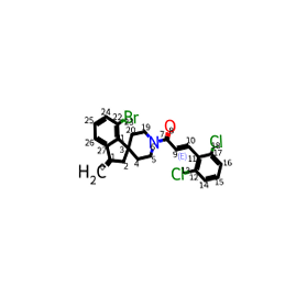 C=C1CC2(CCN(C(=O)/C=C/c3c(Cl)cccc3Cl)CC2)c2c(Br)cccc21